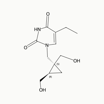 CCc1cn(C[C@]2(CO)C[C@H]2CO)c(=O)[nH]c1=O